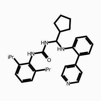 CC(C)c1cccc(C(C)C)c1NC(=O)NC(Nc1ccccc1-c1ccncc1)C1CCCC1